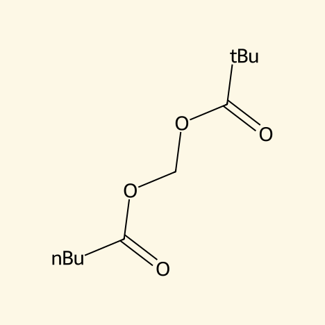 [CH2]CCCC(=O)OCOC(=O)C(C)(C)C